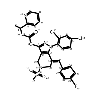 CC(NC(=O)Oc1nn(-c2ccc(Cl)cc2Cl)c2c1CN(S(C)(=O)=O)C/C2=C\c1ccc(F)cc1)c1ccccn1